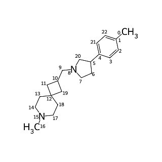 Cc1ccc(C2CCN(CC3CC4(CCN(C)CC4)C3)C2)cc1